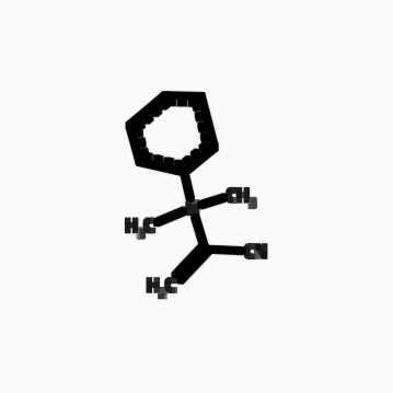 C=C(C#N)[Si](C)(C)c1ccccc1